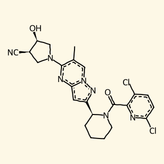 Cc1cn2nc([C@@H]3CCCCN3C(=O)c3nc(Cl)ccc3Cl)cc2nc1N1C[C@@H](C#N)[C@@H](O)C1